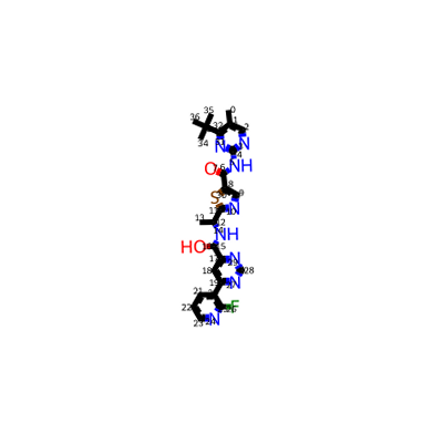 Cc1cnc(NC(=O)c2cnc(C(C)NC(O)c3cc(-c4cccnc4F)ncn3)s2)nc1C(C)(C)C